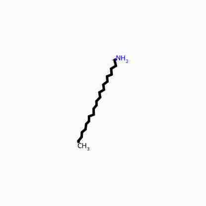 CCCCCCCCCCCCCCCCCCCCC[CH]N